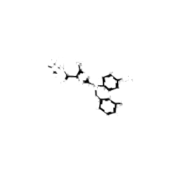 CS(=O)(=O)NC(=O)c1nc(N(Cc2cccc(F)c2)c2ccc(C#N)cc2)sc1Br